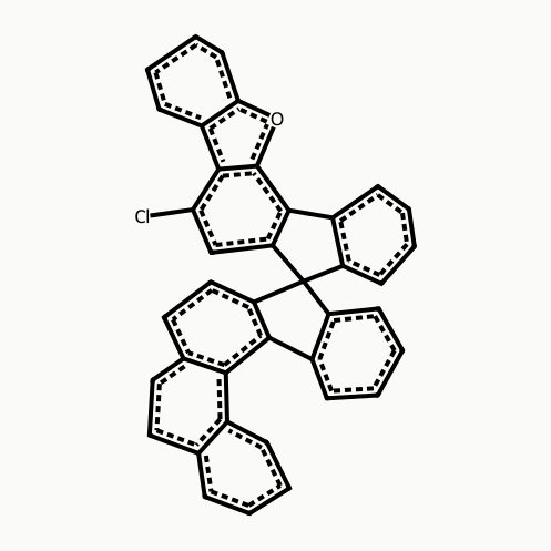 Clc1cc2c(c3oc4ccccc4c13)-c1ccccc1C21c2ccccc2-c2c1ccc1ccc3ccccc3c21